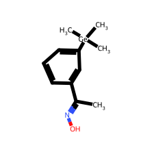 C/C(=N\O)c1ccc[c]([Ge]([CH3])([CH3])[CH3])c1